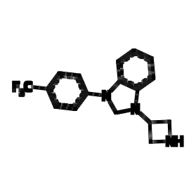 FC(F)(F)c1ccc(N2CN(C3CNC3)c3ccccc32)cc1